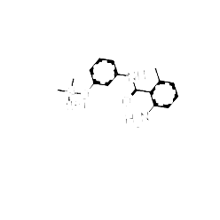 Cc1cccc(N)c1C(=O)Nc1cccc(O[Si](C)(C)C(C)(C)C)c1